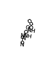 O=C(Nc1cccc(Nc2nccc(-c3ccncc3)n2)c1)Oc1ccc2ccccc2c1